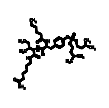 CCCCCC(=O)N[C@@H](Cc1ccc(OP(=O)(OCCN(C)C)OCCN(C)C)cc1)C(=O)N[C@H](C(=O)NCCCCCC(N)=O)[C@@H](C)CC